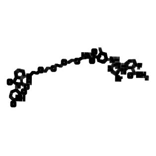 Cc1cc(Nc2ncc(Br)c(Nc3cccc(F)c3C(N)=O)n2)ccc1S(=O)(=O)NCCOCCOCCOCCOCCNc1cccc2c1C(=O)N(C1CCC(=O)NC1=O)C2=O